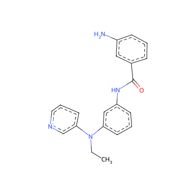 CCN(c1cccnc1)c1cccc(NC(=O)c2cccc(N)c2)c1